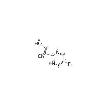 ON=C(Cl)c1ncc(F)cn1